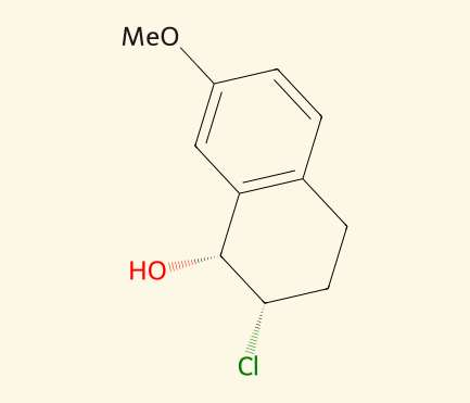 COc1ccc2c(c1)[C@@H](O)[C@@H](Cl)CC2